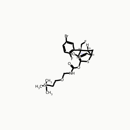 C[Si](C)(C)CCOCNC(=O)OC1=N[C@](CF)(c2cc(Br)ccc2F)[C@@H]2C[C@]2(/C=N/O)S1